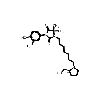 CC1(C)C(=O)N(c2ccc(C#N)c(C(F)(F)F)c2)C(=S)N1CCCCCCCN1CCC[C@H]1CO